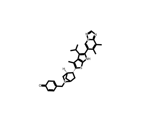 Cc1c(-c2[nH]c3sc([C@@H]4CC5C[C@H]4CN5CC4=CCC(=O)C=C4)c(C)c3c2C(C)C)cn2ncnc2c1C